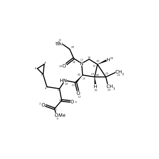 COC(=O)C(=O)C(CC1CC1)NC(=O)[C@@H]1[C@@H]2[C@H](CN1C(=O)CC(C)(C)C)C2(C)C